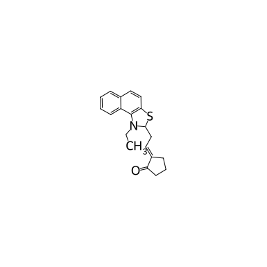 CCN1c2c(ccc3ccccc23)SC1CC=C1CCCC1=O